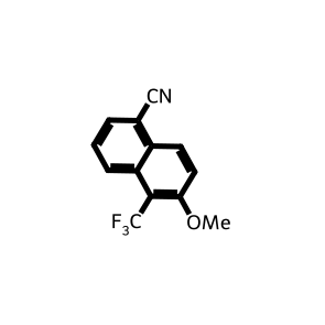 COc1ccc2c(C#N)cccc2c1C(F)(F)F